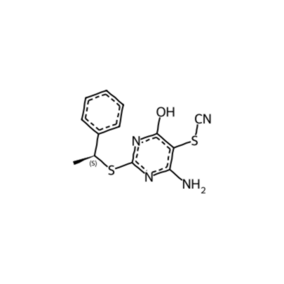 C[C@H](Sc1nc(N)c(SC#N)c(O)n1)c1ccccc1